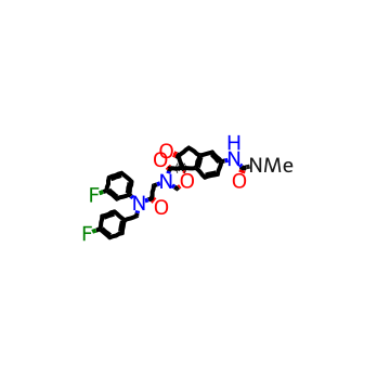 CNC(=O)Nc1ccc2c(c1)CC(=O)[C@]21OCN(CC(=O)N(Cc2ccc(F)cc2)c2cccc(F)c2)C1=O